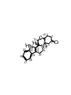 C[C@]12CCC(=O)C[C@H]1N1CCc3c([nH]c4ccccc34)[C@@H]1CO2